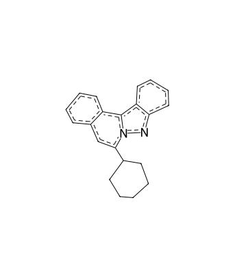 c1ccc2c(c1)cc(C1CCCCC1)n1nc3ccccc3c21